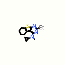 CCc1nc(N(C)C2CC2)c2c3c(sc2n1)CCCC3